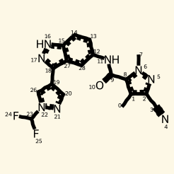 Cc1c(C#N)nn(C)c1C(=O)Nc1ccc2[nH]nc(-c3cnn(C(F)F)c3)c2c1